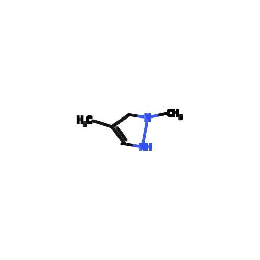 CC1=[C]NN(C)C1